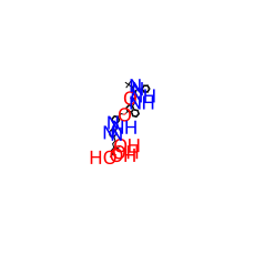 CC(C)(C)c1cc(NC(=O)Nc2ccc(OCc3ccnc(Nc4cncc(CCC(CC(O)O)C(O)O)n4)c3)c3ccccc23)n(-c2ccccc2)n1